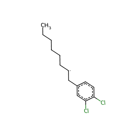 CCCCCC[CH]Cc1ccc(Cl)c(Cl)c1